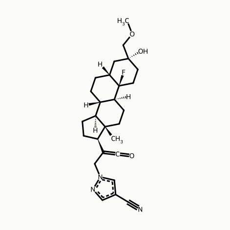 COC[C@@]1(O)CC[C@@]2(F)[C@H](CC[C@H]3[C@@H]4CC[C@H](C(=C=O)Cn5cc(C#N)cn5)[C@@]4(C)CC[C@@H]32)C1